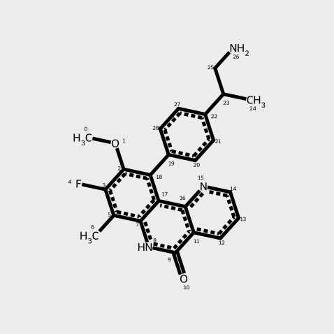 COc1c(F)c(C)c2[nH]c(=O)c3cccnc3c2c1-c1ccc(C(C)CN)cc1